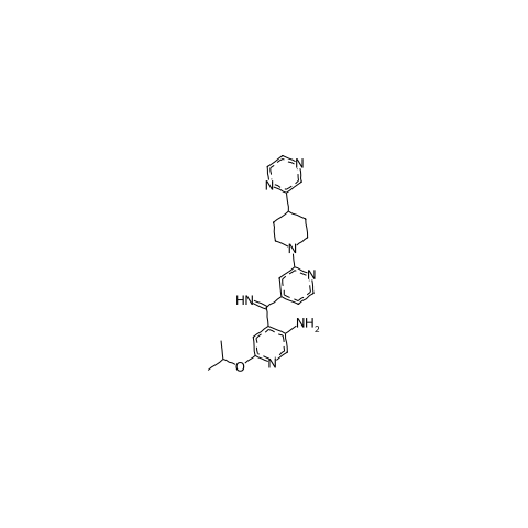 CC(C)Oc1cc(C(=N)c2ccnc(N3CCC(c4cnccn4)CC3)c2)c(N)cn1